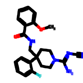 COc1ccccc1C(=O)NCC1(c2ccccc2F)CCN(/C(N)=N/C#N)CC1